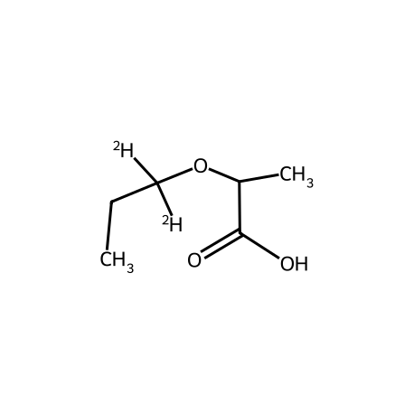 [2H]C([2H])(CC)OC(C)C(=O)O